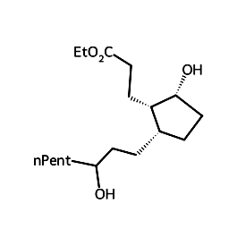 CCCCCC(O)CC[C@H]1CC[C@@H](O)[C@H]1CCC(=O)OCC